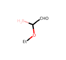 BC(C=O)OCC